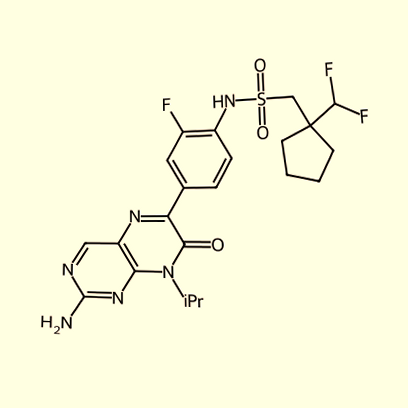 CC(C)n1c(=O)c(-c2ccc(NS(=O)(=O)CC3(C(F)F)CCCC3)c(F)c2)nc2cnc(N)nc21